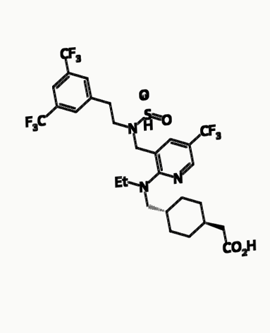 CCN(C[C@H]1CC[C@H](CC(=O)O)CC1)c1ncc(C(F)(F)F)cc1CN(CCc1cc(C(F)(F)F)cc(C(F)(F)F)c1)[SH](=O)=O